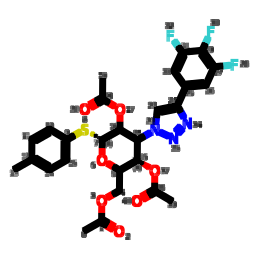 CC(=O)OCC1O[C@H](Sc2ccc(C)cc2)C(OC(C)=O)C(n2cc(-c3cc(F)c(F)c(F)c3)nn2)[C@H]1OC(C)=O